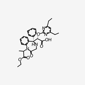 CCOC(=O)C(C)N1C(=O)CN[C@](c2ccccc2)([C@H](Oc2nc(CC)cc(CC)n2)C(=O)O)c2ccccc21